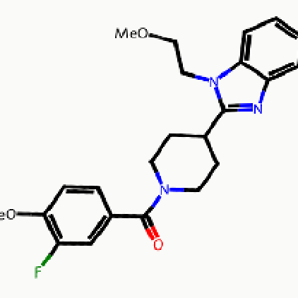 COCCn1c(C2CCN(C(=O)c3ccc(OC)c(F)c3)CC2)nc2ccccc21